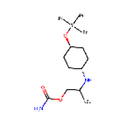 CC(C)[Si](O[C@H]1CC[C@H](NC(COC(N)=O)C(C)(C)C)CC1)(C(C)C)C(C)C